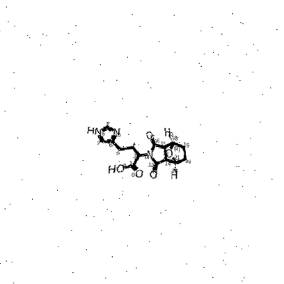 O=C(O)C(CCc1c[nH]cn1)N1C(=O)C2C(C1=O)[C@H]1CC[C@@H]2O1